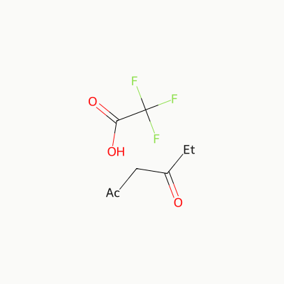 CCC(=O)CC(C)=O.O=C(O)C(F)(F)F